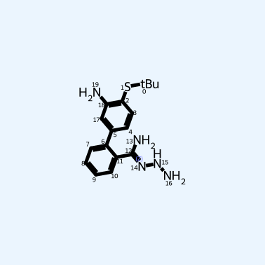 CC(C)(C)Sc1ccc(-c2ccccc2/C(N)=N/NN)cc1N